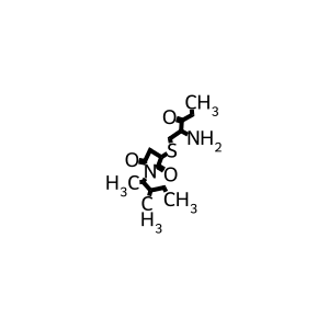 CCC(=O)C(N)CSC1CC(=O)N(C(C)C(C)CC)C1=O